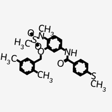 CSc1ccc(C(=O)Nc2ccc(N(C)S(C)(=O)=O)c(OCc3cc(C)ccc3C)c2)cc1